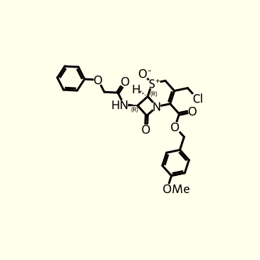 COc1ccc(COC(=O)C2=C(CCl)C[S+]([O-])[C@@H]3[C@H](NC(=O)COc4ccccc4)C(=O)N23)cc1